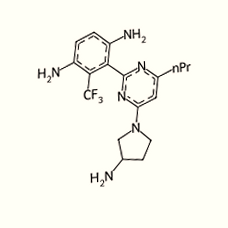 CCCc1cc(N2CCC(N)C2)nc(-c2c(N)ccc(N)c2C(F)(F)F)n1